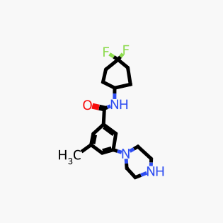 Cc1cc(C(=O)NC2CCC(F)(F)CC2)cc(N2CCNCC2)c1